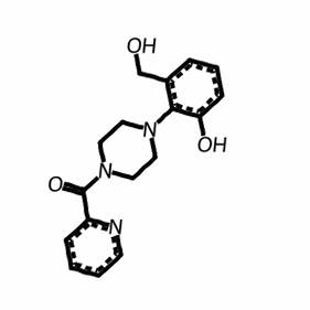 O=C(c1ccccn1)N1CCN(c2c(O)cccc2CO)CC1